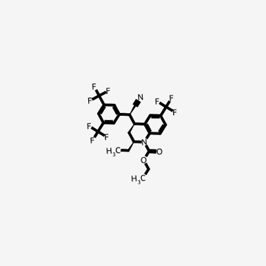 CCOC(=O)N1c2ccc(C(F)(F)F)cc2[C@H]([C@H](C#N)c2cc(C(F)(F)F)cc(C(F)(F)F)c2)C[C@@H]1CC